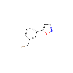 BrCc1cccc(-c2ccno2)c1